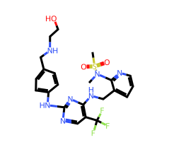 CN(c1ncccc1CNc1nc(Nc2ccc(CNCCO)cc2)ncc1C(F)(F)F)S(C)(=O)=O